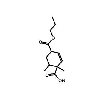 CCCOC(=O)C1C=CC(C)(C(=O)O)C(C)C1